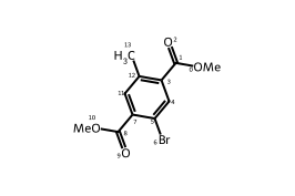 COC(=O)c1cc(Br)c(C(=O)OC)cc1C